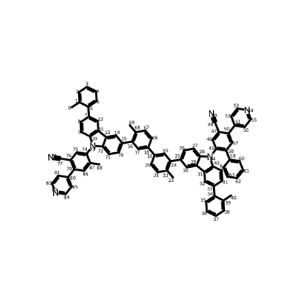 Cc1ccccc1-c1ccc2c(c1)c1cc(-c3cc(-c4ccc(C)c(-c5ccc6c(c5)c5cc(-c7ccccc7C)ccc5n6-c5cc(C#N)c(-c6ccncc6)cc5-c5ccccc5)c4)ccc3C)ccc1n2-c1cc(C#N)c(-c2ccncc2)cc1C